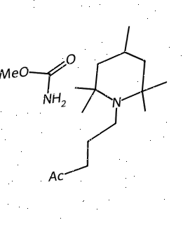 CC(=O)CCCN1C(C)(C)CC(C)CC1(C)C.COC(N)=O